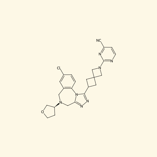 N#Cc1ccnc(N2CC3(CC(c4nnc5n4-c4ccc(Cl)cc4CN([C@H]4CCOC4)C5)C3)C2)n1